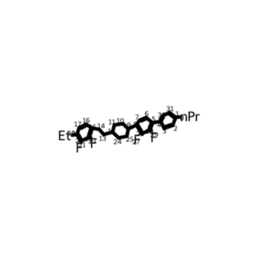 CCCc1ccc(-c2ccc(C3CCC(CCc4ccc(CC)c(F)c4F)CC3)c(F)c2F)cc1